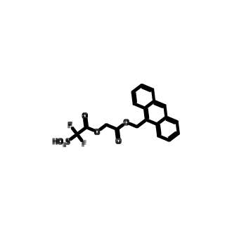 O=C(COC(=O)C(F)(F)S(=O)(=O)O)OCc1c2ccccc2cc2ccccc12